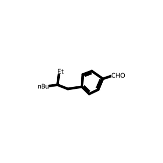 CCCCC(CC)Cc1ccc(C=O)cc1